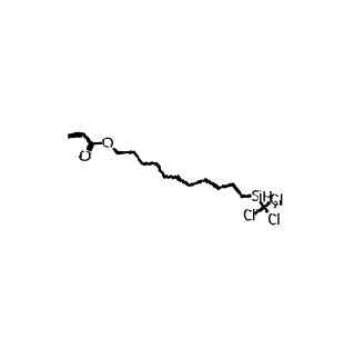 C=CC(=O)OCCCCCCCCCCC[SiH2]C(Cl)(Cl)Cl